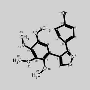 COc1cc(-c2csnc2-c2ccc(Br)cc2)c(OC)c(OC)c1OC